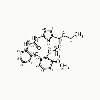 CCOC(=O)c1csc(NC(=O)Nc2ccccc2Oc2cccc(OC)c2OC)n1